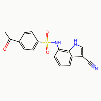 CC(=O)c1ccc(S(=O)(=O)Nc2cccc3c(C#N)c[nH]c23)cc1